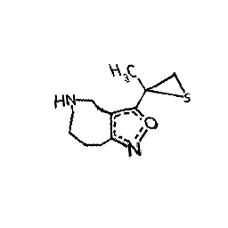 CC1(c2onc3c2CNCC3)CS1